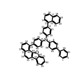 c1ccc(-c2ccc(N(c3ccc(-c4cccc5ccccc45)cc3)c3ccc(-c4cccc5ccc6c7ccccc7oc6c45)cc3)cc2)cc1